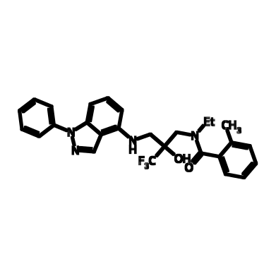 CCN(CC(O)(CNc1cccc2c1cnn2-c1ccccc1)C(F)(F)F)C(=O)c1ccccc1C